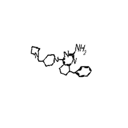 Nc1nc2c(c(N3CCC(CN4CCC4)CC3)n1)CCCC2c1ccccc1